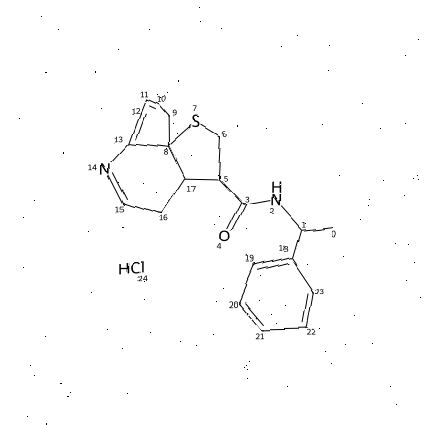 CC(NC(=O)C1CSC23CC=CC=C2N=CCC13)c1ccccc1.Cl